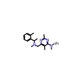 CCCN(C)c1nc(C)nc(CN(C)C(C)c2ccccc2C)c1C